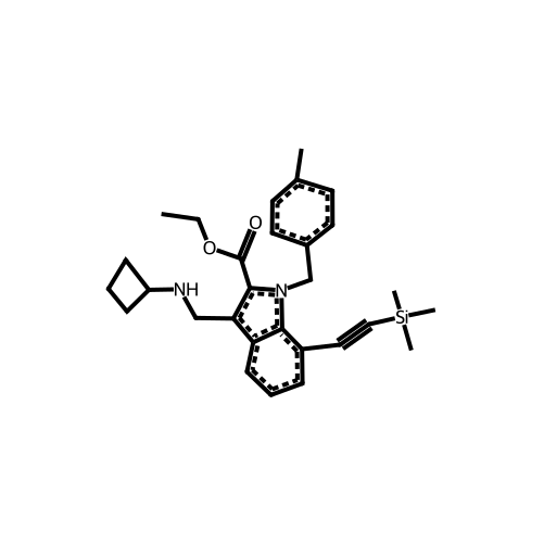 CCOC(=O)c1c(CNC2CCC2)c2cccc(C#C[Si](C)(C)C)c2n1Cc1ccc(C)cc1